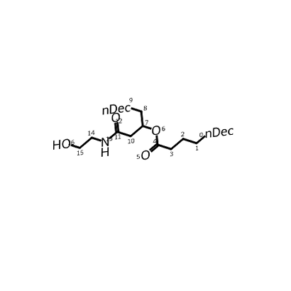 CCCCCCCCCCCCCC(=O)OC(CCCCCCCCCCC)CC(=O)NCCO